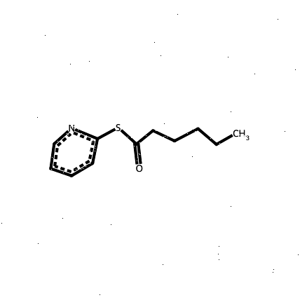 CCCCCC(=O)Sc1ccccn1